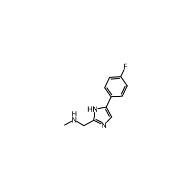 CNCc1ncc(-c2ccc(F)cc2)[nH]1